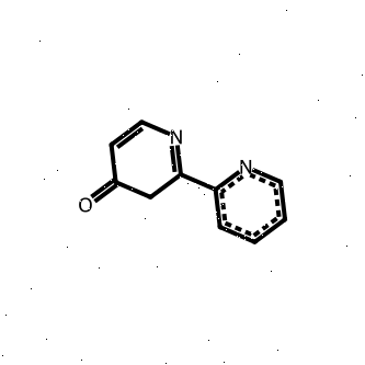 O=C1C=CN=C(c2ccccn2)C1